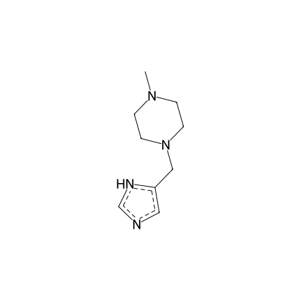 CN1CCN(Cc2cnc[nH]2)CC1